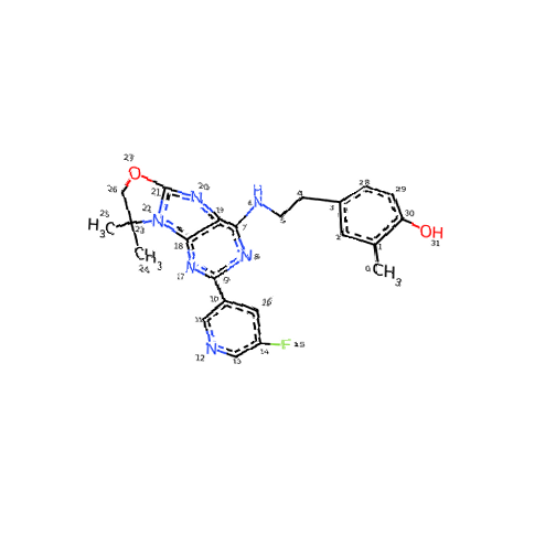 Cc1cc(CCNc2nc(-c3cncc(F)c3)nc3c2nc2n3C(C)(C)CO2)ccc1O